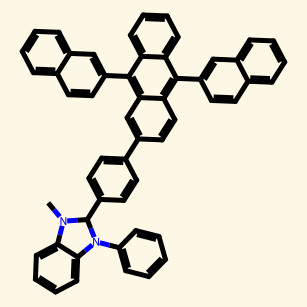 CN1c2ccccc2N(c2ccccc2)C1c1ccc(-c2ccc3c(-c4ccc5ccccc5c4)c4ccccc4c(-c4ccc5ccccc5c4)c3c2)cc1